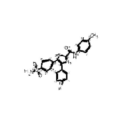 Cc1ccc(NC(=O)c2nc(-c3ccc(F)cc3)c(-c3ccc(S(N)(=O)=O)cc3)s2)cc1